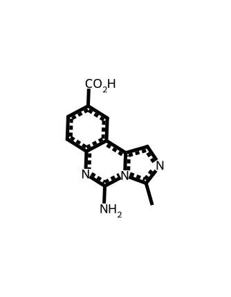 Cc1ncc2c3cc(C(=O)O)ccc3nc(N)n12